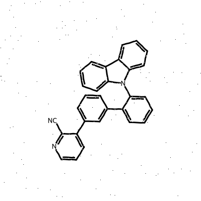 N#Cc1ncccc1-c1cccc(-c2ccccc2-n2c3ccccc3c3ccccc32)c1